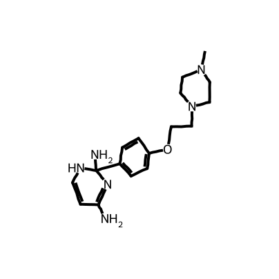 CN1CCN(CCOc2ccc(C3(N)N=C(N)C=CN3)cc2)CC1